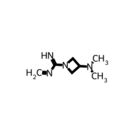 C=NC(=N)N1CC(N(C)C)C1